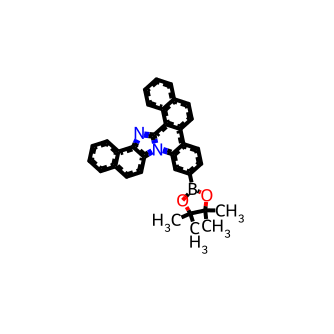 CC1(C)OB(c2ccc3c4ccc5ccccc5c4c4nc5c6ccccc6ccc5n4c3c2)OC1(C)C